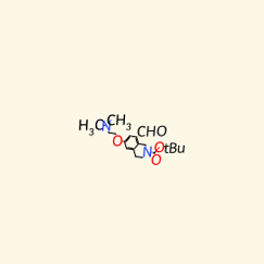 CN(C)CCOc1cc(C=O)c2c(c1)CCN(C(=O)OC(C)(C)C)C2